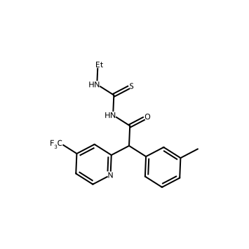 CCNC(=S)NC(=O)C(c1cccc(C)c1)c1cc(C(F)(F)F)ccn1